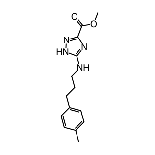 COC(=O)c1n[nH]c(NCCCc2ccc(C)cc2)n1